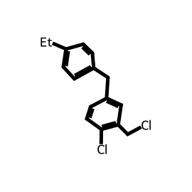 CCc1ccc(Cc2ccc(Cl)c(CCl)c2)cc1